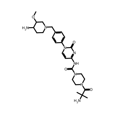 COC1CN(Cc2ccc(-n3ccc(NC(=O)N4CCN(C(=O)C(C)(C)N)CC4)nc3=O)cc2)CCC1N